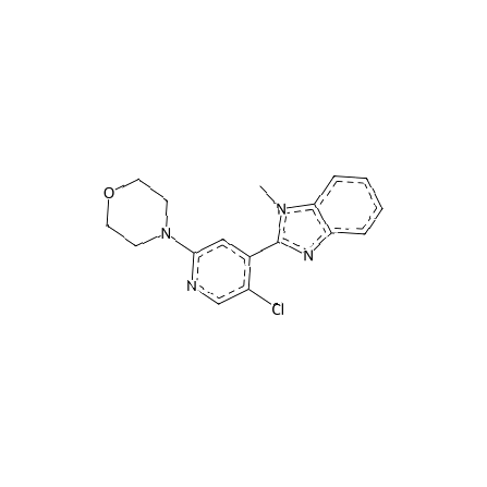 Cn1c(-c2cc(N3CCOCC3)ncc2Cl)nc2ccccc21